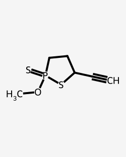 C#CC1CCP(=S)(OC)S1